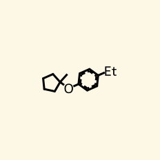 CCc1ccc(OC2(C)CCCC2)cc1